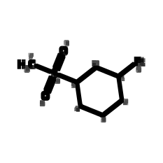 CCC1CCCC(S(C)(=O)=O)C1